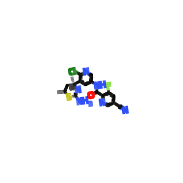 C=C1C[C@@](C)(c2cc(NC(=O)c3ncc(C#N)cc3F)cnc2Cl)N=C(N)S1